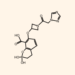 O=C(O)c1c(OC2CN(C(=O)Cn3cncn3)C2)ccc2c1O[B-](O)(O)CC2